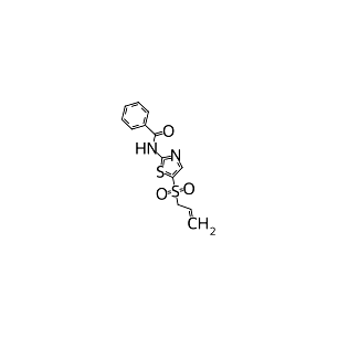 C=CCS(=O)(=O)c1cnc(NC(=O)c2ccccc2)s1